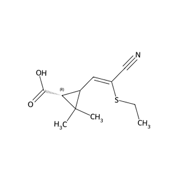 CCSC(C#N)=CC1[C@@H](C(=O)O)C1(C)C